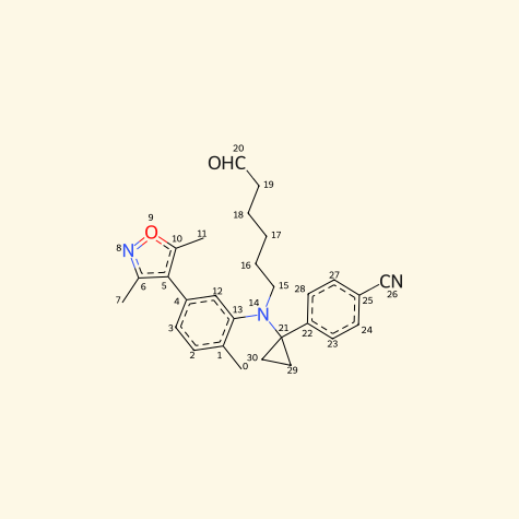 Cc1ccc(-c2c(C)noc2C)cc1N(CCCCCC=O)C1(c2ccc(C#N)cc2)CC1